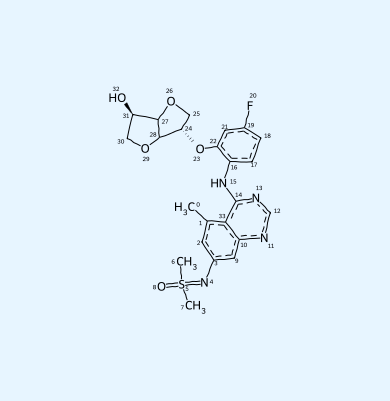 Cc1cc(N=S(C)(C)=O)cc2ncnc(Nc3ccc(F)cc3O[C@H]3COC4C3OC[C@H]4O)c12